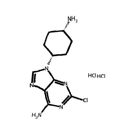 Cl.Cl.Nc1nc(Cl)nc2c1ncn2[C@H]1CC[C@@H](N)CC1